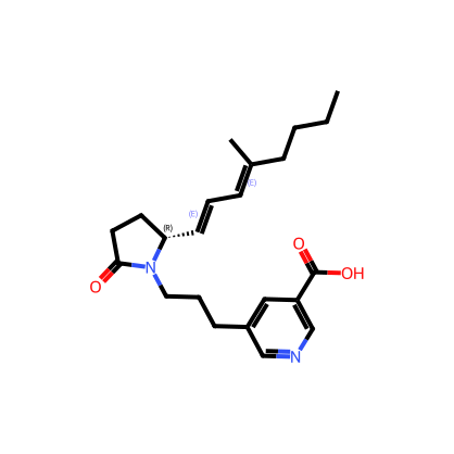 CCCC/C(C)=C/C=C/[C@H]1CCC(=O)N1CCCc1cncc(C(=O)O)c1